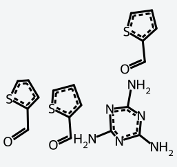 Nc1nc(N)nc(N)n1.O=Cc1cccs1.O=Cc1cccs1.O=Cc1cccs1